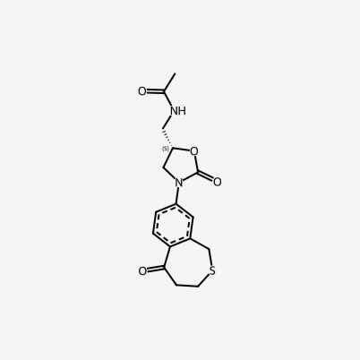 CC(=O)NC[C@H]1CN(c2ccc3c(c2)CSCCC3=O)C(=O)O1